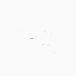 O=C(c1cccc([N+](=O)[O-])c1)C(Br)Br